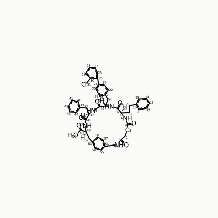 O=C1CCC(=O)N[C@H](CCc2ccccc2)C(=O)N[C@@H](Cc2ccc(-c3ccccc3Cl)cc2)C(=O)N[C@H](Cc2ccccc2)C(=O)N[C@H](C(=O)O)Cc2ccc(cc2)N1